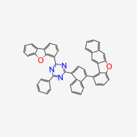 c1ccc(-c2nc(-c3ccc(-c4cccc5oc6cc7ccccc7cc6c45)c4ccccc34)nc(-c3cccc4c3oc3ccccc34)n2)cc1